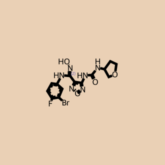 O=C(Nc1nonc1/C(=N/O)Nc1ccc(F)c(Br)c1)NC1CCOC1